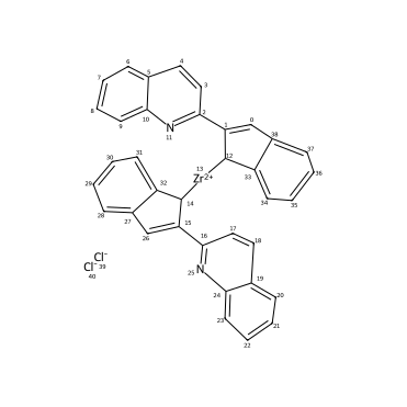 C1=C(c2ccc3ccccc3n2)[CH]([Zr+2][CH]2C(c3ccc4ccccc4n3)=Cc3ccccc32)c2ccccc21.[Cl-].[Cl-]